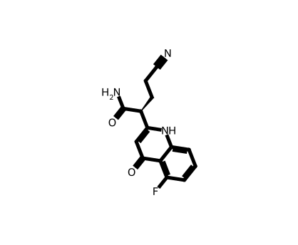 N#CCC[C@H](C(N)=O)c1cc(=O)c2c(F)cccc2[nH]1